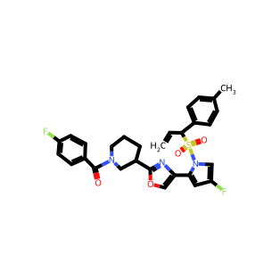 C=CC(c1ccc(C)cc1)S(=O)(=O)n1cc(F)cc1-c1coc(C2CCCN(C(=O)c3ccc(F)cc3)C2)n1